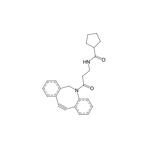 O=C(NCCC(=O)N1Cc2ccccc2C#Cc2ccccc21)C1CCCC1